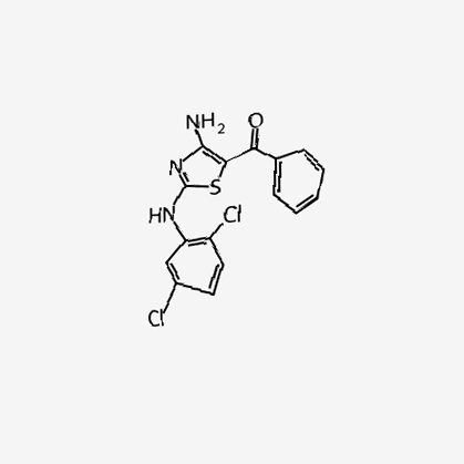 Nc1nc(Nc2cc(Cl)ccc2Cl)sc1C(=O)c1ccccc1